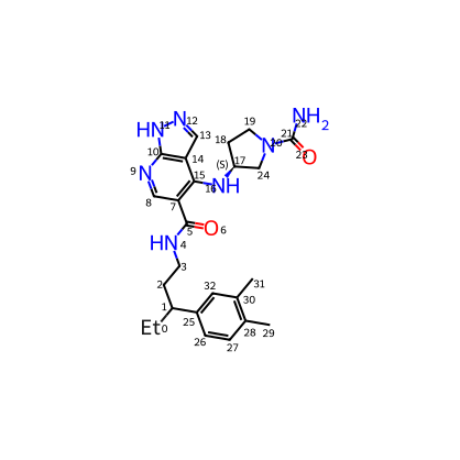 CCC(CCNC(=O)c1cnc2[nH]ncc2c1N[C@H]1CCN(C(N)=O)C1)c1ccc(C)c(C)c1